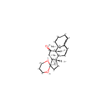 CC[C@]12CC(=O)[C@H]3[C@@H](CCC4=CCCC[C@@H]43)[C@@H]1CCC21OCCCO1